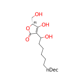 CCCCCCCCCCCCCCCC(O)C1=C(O)[C@@H](CO)OC1=O